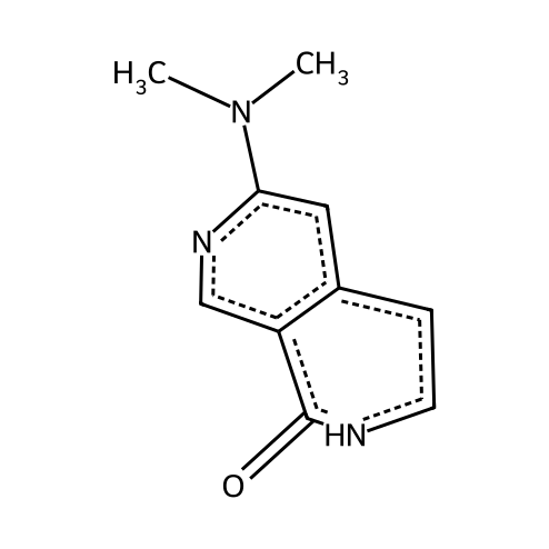 CN(C)c1cc2cc[nH]c(=O)c2cn1